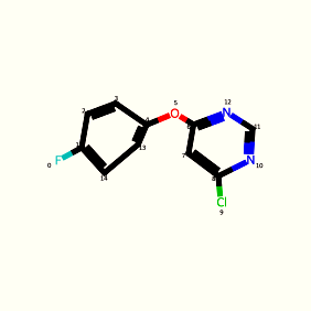 Fc1ccc(Oc2cc(Cl)ncn2)cc1